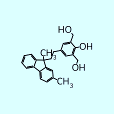 Cc1ccc2c(c1)C(C)(CCc1cc(CO)c(O)c(CO)c1)c1ccccc1-2